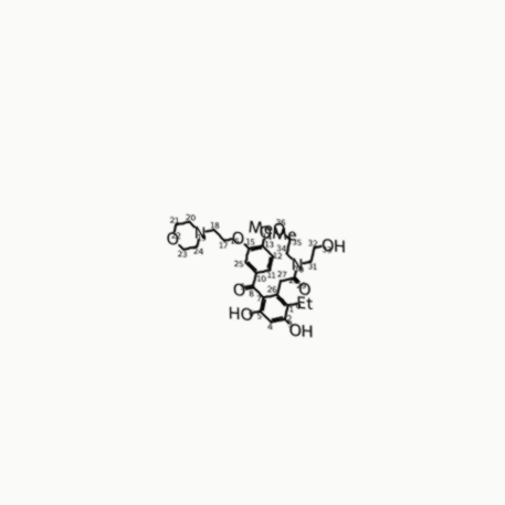 CCc1c(O)cc(O)c(C(=O)c2ccc(OC)c(OCCN3CCOCC3)c2)c1CC(=O)N(CCO)CCOC